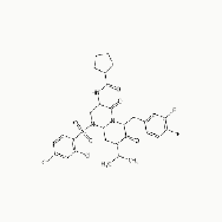 CC(C)N1CC2N(C(=O)C(NC(=O)C3CCCC3)CN2S(=O)(=O)c2ccc(Cl)cc2Cl)C(Cc2ccc(F)c(F)c2)C1=O